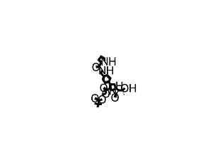 C[C@@H](O)[C@H]1C(=O)N2C(C(=O)OCOC(=O)C(C)(C)C)=C(c3ccc(CNC(=O)c4ccc[nH]4)cc3)C[C@H]12